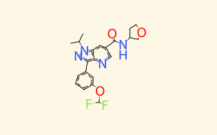 CC(C)n1nc(-c2cccc(OC(F)F)c2)c2ncc(C(=O)NC3CCOC3)cc21